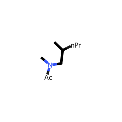 CCCC(C)CN(C)C(C)=O